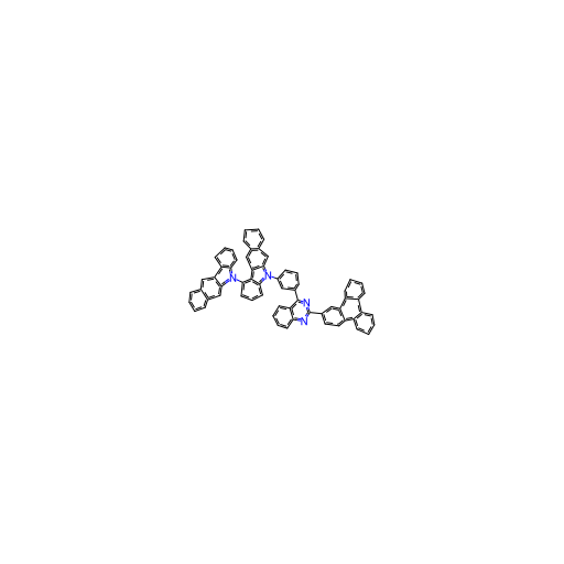 c1cc(-c2nc(-c3ccc4c5ccccc5c5ccccc5c4c3)nc3ccccc23)cc(-n2c3cc4ccccc4cc3c3c(-n4c5ccccc5c5cc6ccccc6cc54)cccc32)c1